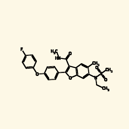 CCN(c1cc2oc(-c3ccc(Oc4ccc(F)cc4)cc3)c(C(=O)NC)c2cc1C)S(C)(=O)=O